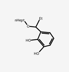 CCCCCCCOC(CC)c1cccc(O)c1O